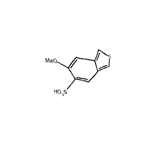 COc1cc2cscc2cc1S(=O)(=O)O